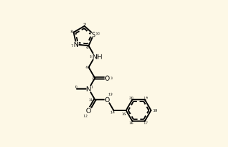 CN(C(=O)CNc1nccs1)C(=O)OCc1ccccc1